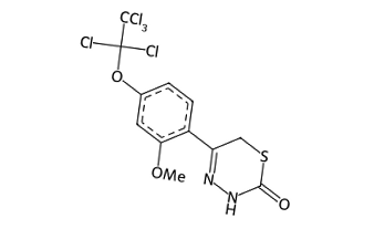 COc1cc(OC(Cl)(Cl)C(Cl)(Cl)Cl)ccc1C1=NNC(=O)SC1